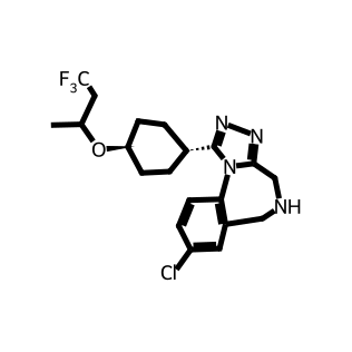 CC(CC(F)(F)F)O[C@H]1CC[C@H](c2nnc3n2-c2ccc(Cl)cc2CNC3)CC1